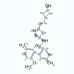 COc1cnc(C)cc1-c1cc(C)ncc1C(=O)Nc1nnc(OCC2CC(O)C2)s1